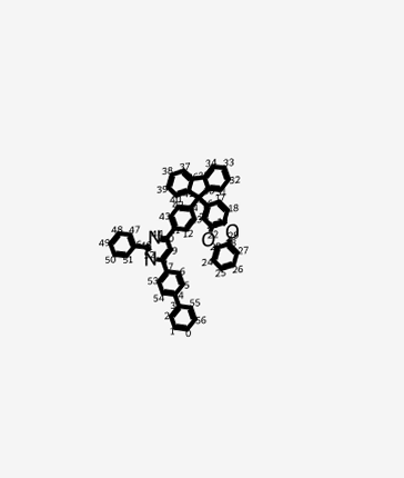 c1ccc(-c2ccc(-c3cc(-c4ccc(C5(c6ccc7c(c6)Oc6ccccc6O7)c6ccccc6-c6ccccc65)cc4)nc(-c4ccccc4)n3)cc2)cc1